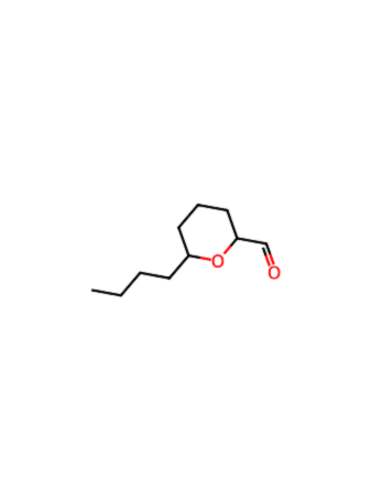 CCCCC1CCCC(C=O)O1